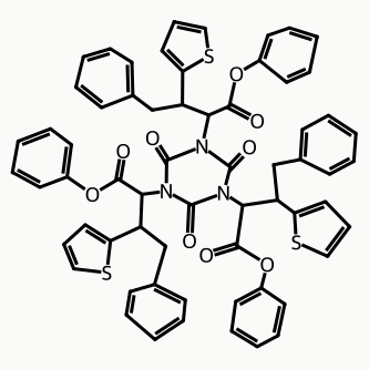 O=C(Oc1ccccc1)C(C(Cc1ccccc1)c1cccs1)n1c(=O)n(C(C(=O)Oc2ccccc2)C(Cc2ccccc2)c2cccs2)c(=O)n(C(C(=O)Oc2ccccc2)C(Cc2ccccc2)c2cccs2)c1=O